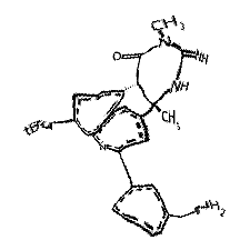 CN1C(=N)N[C@](C)(c2ccnc(-c3cccc(N)c3)c2)[C@H](c2ccc(C(C)(C)C)cc2)C1=O